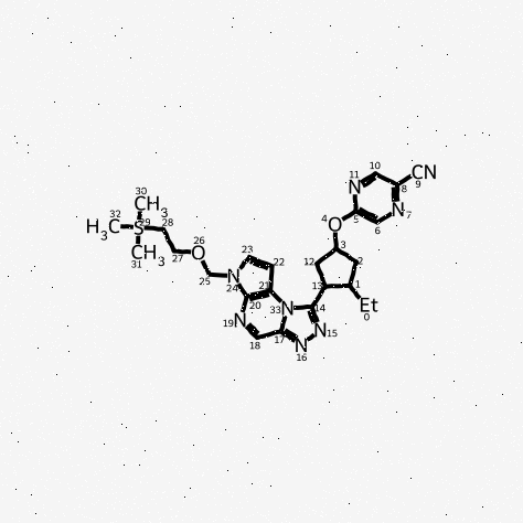 CCC1CC(Oc2cnc(C#N)cn2)CC1c1nnc2cnc3c(ccn3COCCS(C)(C)C)n12